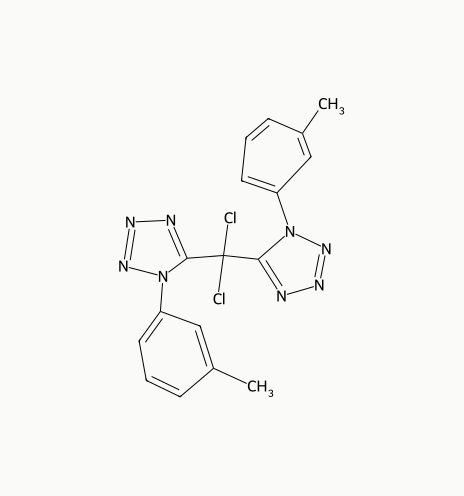 Cc1cccc(-n2nnnc2C(Cl)(Cl)c2nnnn2-c2cccc(C)c2)c1